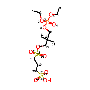 CCOP(=O)(OCC)OCC(C)(C)COS(=O)(=O)CCCS(=O)(=O)O